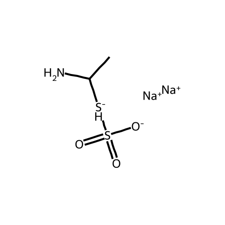 CC(N)[SH-]S(=O)(=O)[O-].[Na+].[Na+]